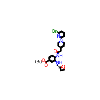 CC(C)(C)OC(=O)c1ccc(NC(=O)CC2=CCN(c3cccc(Br)n3)CC2)c(NC[C@@H]2CCO2)c1